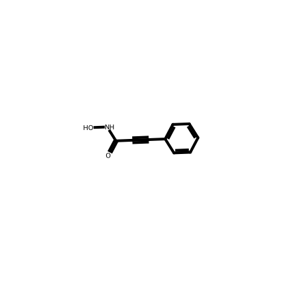 O=C(C#Cc1ccccc1)NO